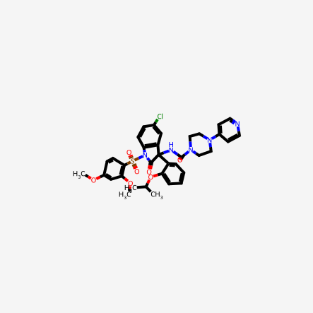 COc1ccc(S(=O)(=O)N2C(=O)C(NC(=O)N3CCN(c4ccncc4)CC3)(c3ccccc3OC(C)C)c3cc(Cl)ccc32)c(OC)c1